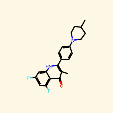 Cc1c(-c2ccc(N3CCC(C)CC3)cc2)[nH]c2cc(F)cc(F)c2c1=O